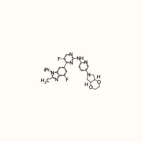 Cc1nc2c(F)cc(-c3nc(Nc4ccc(N5C[C@@H]6OCCO[C@@H]6C5)cn4)ncc3F)cc2n1C(C)C